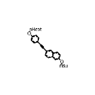 CCCCCCCOc1ccc(C#Cc2ccc3cc(OCCCC)ccc3c2)cc1